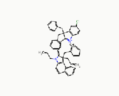 C=CCC1(Cc2ccccc2)/C(=C\C=C\C2=[N+](C)c3ccc(Cl)cc3C2(Cc2ccccc2)Cc2ccccc2)N(CCC)c2ccc3ccccc3c21